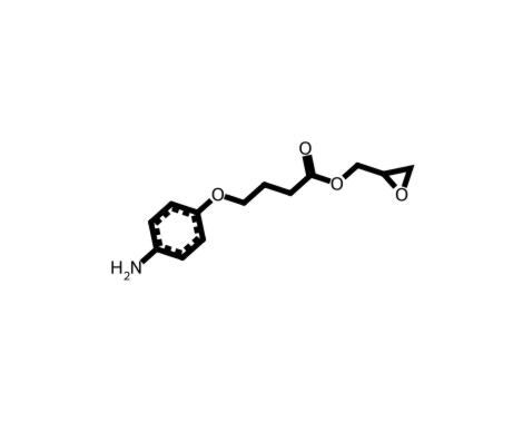 Nc1ccc(OCCCC(=O)OCC2CO2)cc1